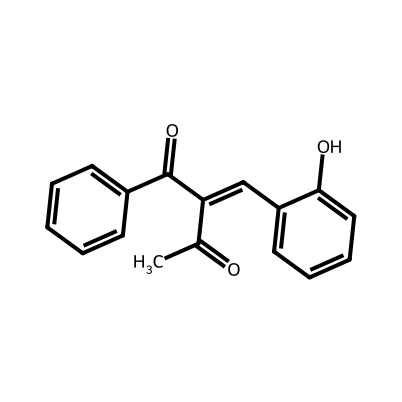 CC(=O)C(=Cc1ccccc1O)C(=O)c1ccccc1